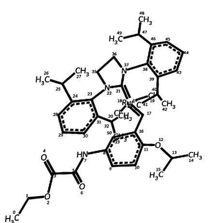 CCOC(=O)C(=O)Nc1ccc(OC(C)C)c([CH]=[Ru-4]([Cl])([Cl])=[C]2N(c3c(C(C)C)cccc3C(C)C)CCN2c2c(C(C)C)cccc2C(C)C)c1